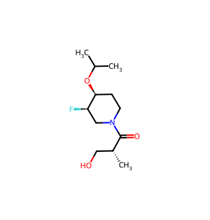 CC(C)O[C@H]1CCN(C(=O)[C@H](C)CO)C[C@H]1F